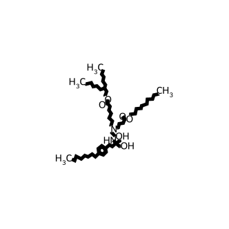 CCCCCCCCCCCOC(=O)CCCN(CCCCCCC(=O)OCCC(CCCCCC)CCCCCC)CCNC(CO)(CO)CCc1ccc(CCCCCCCC)cc1